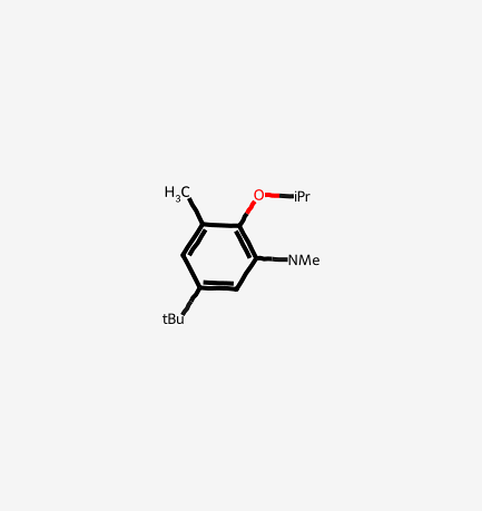 CNc1cc(C(C)(C)C)cc(C)c1OC(C)C